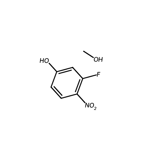 CO.O=[N+]([O-])c1ccc(O)cc1F